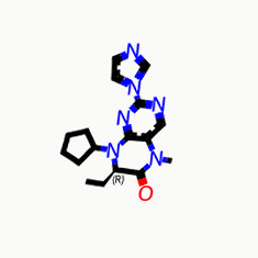 CC[C@@H]1C(=O)N(C)c2cnc(-n3ccnc3)nc2N1C1CCCC1